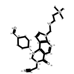 C[Si](C)(C)CCOCn1ccc2c3c(cnc21)C(=O)N(CC#N)CN3[C@H]1CC[C@H](C=O)CC1